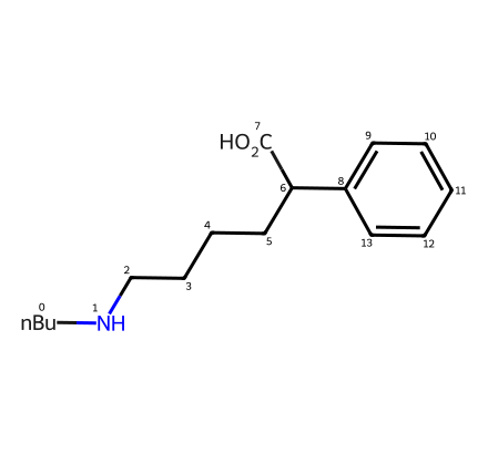 CCCCNCCCCC(C(=O)O)c1ccccc1